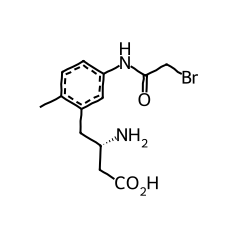 Cc1ccc(NC(=O)CBr)cc1C[C@H](N)CC(=O)O